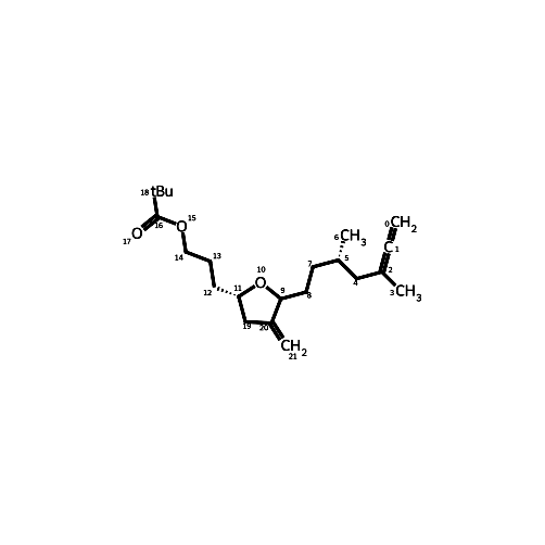 C=C=C(C)C[C@@H](C)CCC1O[C@@H](CCCOC(=O)C(C)(C)C)CC1=C